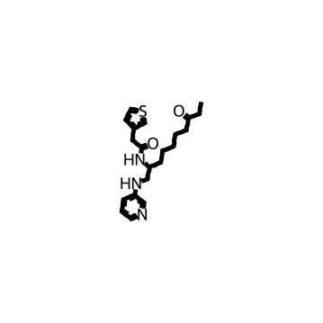 CCC(=O)CCCCCC(CNc1cccnc1)NC(=O)Cc1ccsc1